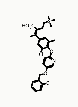 C/C(=C(/CC[Si](C)(C)C)C(=O)O)c1cc(C)c(Oc2ccc(OCc3ccccc3Cl)cn2)c(Cl)c1